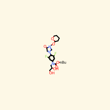 CCCCOC(=O)N(CC(O)CO)c1cc(F)c(N2CC(=O)N(COC3CCCCO3)C2)c(F)c1